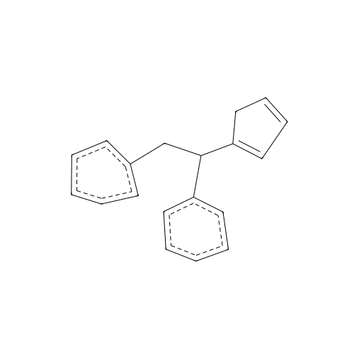 C1=CCC(C(Cc2ccccc2)c2ccccc2)=C1